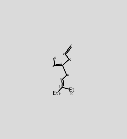 C=CCC(=CC)CC=C(CC)CC